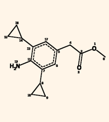 COC(=O)Cc1cc(C2CC2)c(N)c(C2CC2)c1